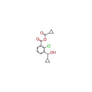 O=C(OC(=O)C1CC1)c1cccc(C(O)C2CC2)c1Cl